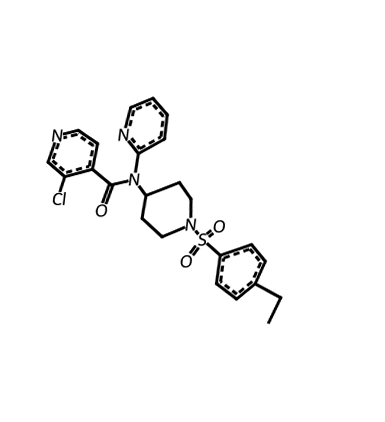 CCc1ccc(S(=O)(=O)N2CCC(N(C(=O)c3ccncc3Cl)c3ccccn3)CC2)cc1